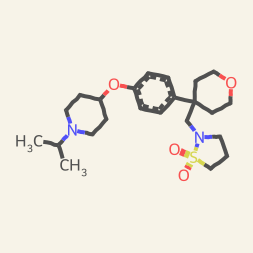 CC(C)N1CCC(Oc2ccc(C3(CN4CCCS4(=O)=O)CCOCC3)cc2)CC1